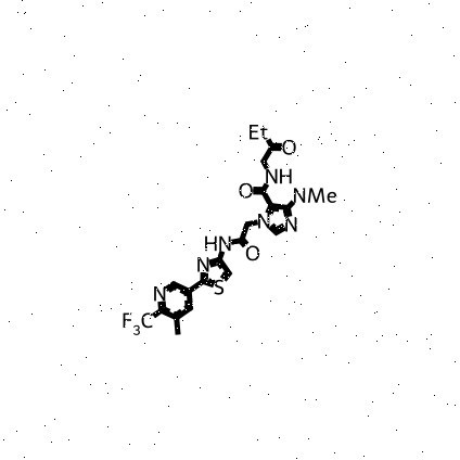 CCC(=O)CNC(=O)c1c(NC)ncn1CC(=O)Nc1csc(-c2cnc(C(F)(F)F)c(C)c2)n1